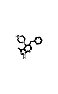 Cc1n[nH]c2ncc(Cc3ccccc3)c(N3CCNCC3)c12